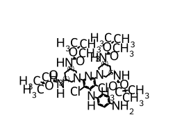 CC(C)(C)OC(=O)N[C@@H]1C[C@H](NC(=O)OC(C)(C)C)CN(c2nc(N3C[C@H](NC(=O)OC(C)(C)C)C[C@H](NC(=O)OC(C)(C)C)C3)c(Cl)c(Nc3ccc(N)cc3)c2Cl)C1